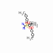 CCC1CCC(C2CCC(C(=O)Oc3cc(C(C)(C)C)c(OC(=O)C4CCC(C5CCC(CC)CC5)CC4)c4c3SC(=C(C#N)C#N)S4)CC2)CC1